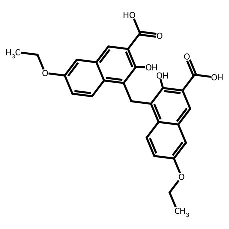 CCOc1ccc2c(Cc3c(O)c(C(=O)O)cc4cc(OCC)ccc34)c(O)c(C(=O)O)cc2c1